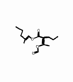 CCCC(C)=COC(=O)C(CCC)=C(C)O[C]=O